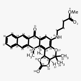 COC(=O)CCCNc1cc2c(=O)c3cc4ccccc4cc3n(C)c2c2c1OC(C)(C)[C@H]1OC(=O)O[C@@H]21